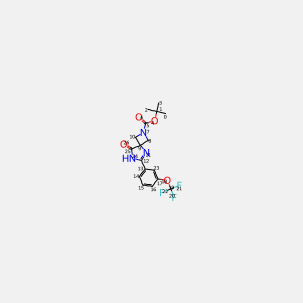 CC(C)(C)OC(=O)N1CC2(C1)N=C(c1cccc(OC(F)(F)F)c1)NC2=O